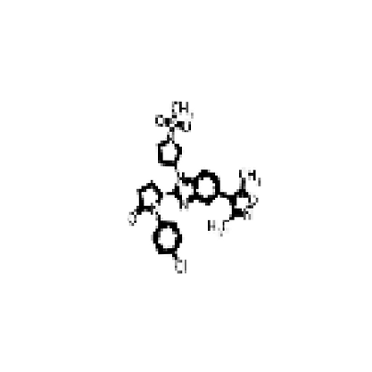 Cc1noc(C)c1-c1ccc2c(c1)nc([C@@H]1CCC(=O)N1c1ccc(Cl)cc1)n2[C@@H]1CCN(S(C)(=O)=O)C1